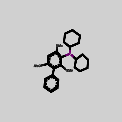 COc1cc(OC)c(P(C2CCCCC2)C2CCCCC2)c(OC)c1-c1ccccc1